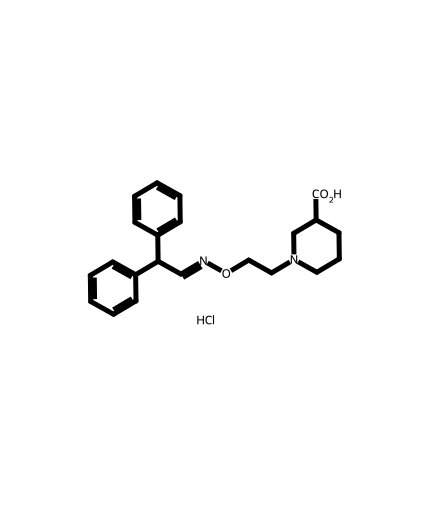 Cl.O=C(O)C1CCCN(CCON=CC(c2ccccc2)c2ccccc2)C1